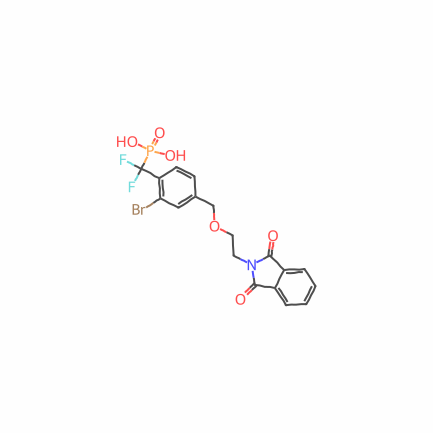 O=C1c2ccccc2C(=O)N1CCOCc1ccc(C(F)(F)P(=O)(O)O)c(Br)c1